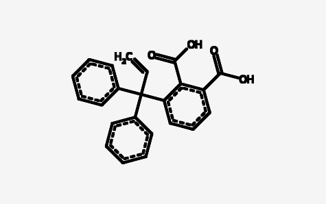 C=CC(c1ccccc1)(c1ccccc1)c1cccc(C(=O)O)c1C(=O)O